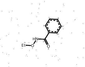 CCONC(=O)c1ccccc1